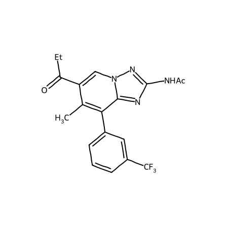 CCC(=O)c1cn2nc(NC(C)=O)nc2c(-c2cccc(C(F)(F)F)c2)c1C